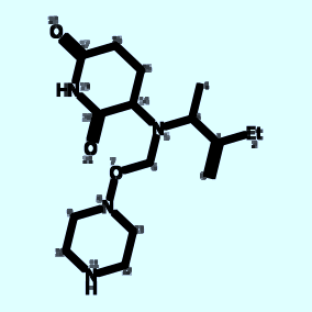 C=C(CC)C(C)N(CON1CCNCC1)C1CCC(=O)NC1=O